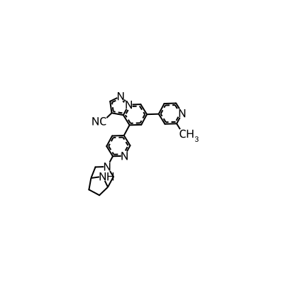 Cc1cc(-c2cc(-c3ccc(N4CC5CCC(C4)N5)nc3)c3c(C#N)cnn3c2)ccn1